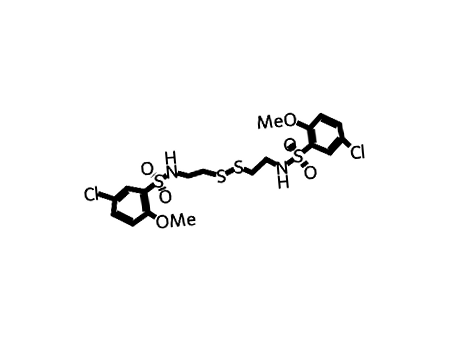 COc1ccc(Cl)cc1S(=O)(=O)NCCSSCCNS(=O)(=O)c1cc(Cl)ccc1OC